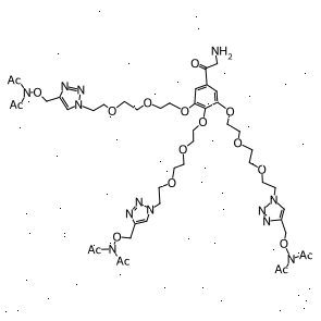 CC(=O)N(OCc1cn(CCOCCOCCOc2cc(C(=O)CN)cc(OCCOCCOCCn3cc(CON(C(C)=O)C(C)=O)nn3)c2OCCOCCOCCn2cc(CON(C(C)=O)C(C)=O)nn2)nn1)C(C)=O